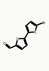 O=Cc1ccc(-c2ccc(Br)s2)o1